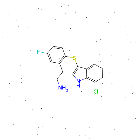 NCCc1cc(F)ccc1Sc1c[nH]c2c(Cl)cccc12